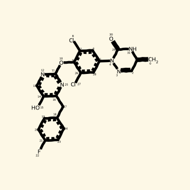 C=C1C=NN(c2cc(Cl)c(Oc3ncc(O)c(Cc4ccc(F)cc4)n3)c(Cl)c2)C(=O)N1